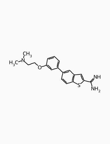 CN(C)CCOc1cccc(-c2ccc3sc(C(=N)N)cc3c2)c1